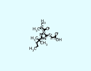 CCCC(C)(C)c1nc(SCC(=O)O)n(C(=O)N(C)C)n1